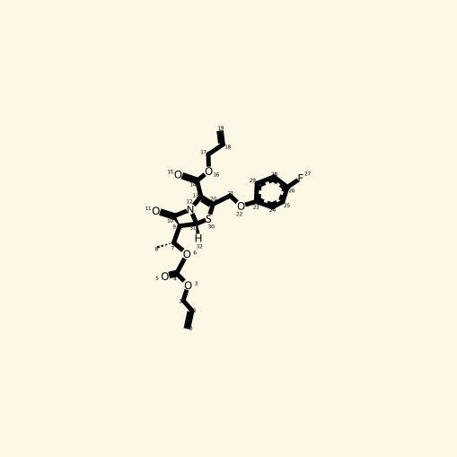 C=CCOC(=O)O[C@H](C)[C@H]1C(=O)N2C(C(=O)OCC=C)=C(COc3ccc(F)cc3)S[C@H]12